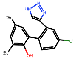 CC(C)(C)c1cc(-c2ccc(Cl)cc2-c2c[nH]nn2)c(O)c(C(C)(C)C)c1